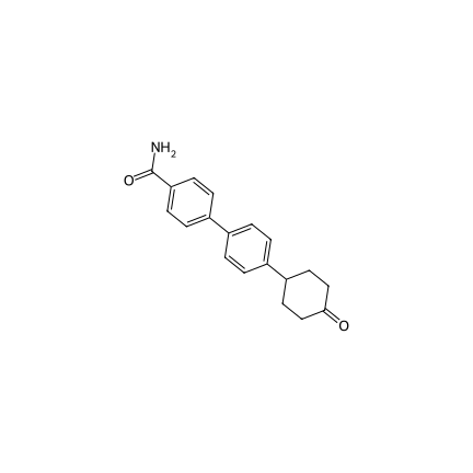 NC(=O)c1ccc(-c2ccc(C3CCC(=O)CC3)cc2)cc1